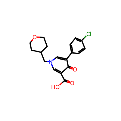 O=C(O)c1cn(CC2CCOCC2)cc(-c2ccc(Cl)cc2)c1=O